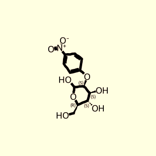 O=[N+]([O-])c1ccc(O[C@@H]2C(O)O[C@H](CO)[C@@H](O)[C@@H]2O)cc1